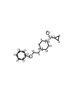 [O-][S+](C1CC1)N1CCN(CCOc2ccccc2)CC1